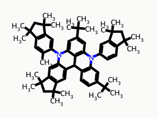 Cc1cc2c(cc1N1c3cc4c(cc3C3c5ccc(C(C)(C)C)cc5N(c5ccc6c(c5)C(C)(C)CC6(C)C)c5cc(C(C)(C)C)cc1c53)C(C)(C)CC4(C)C)C(C)(C)CC2(C)C